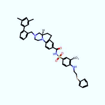 Cc1cc(C)cc(-c2ccccc2CN2CCN3c4ccc(C(=O)NS(=O)(=O)c5ccc(NCCSc6ccccc6)c([N+](=O)[O-])c5)cc4CC[C@H]3C2)c1